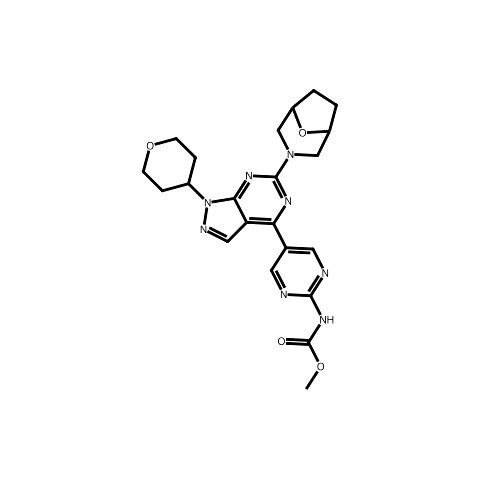 COC(=O)Nc1ncc(-c2nc(N3CC4CCC(C3)O4)nc3c2cnn3C2CCOCC2)cn1